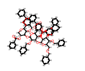 O=C(OCC1OC(OC2C(OCc3ccccc3)C(COCc3ccccc3)OC[C@H]2OC(=O)c2ccccc2)C(OCc2ccccc2)C(OC2OC(COCc3ccccc3)C(OCc3ccccc3)C(OCc3ccc4ccccc4c3)C2OC(=O)c2ccccc2)C1OC(=O)c1ccccc1)c1ccccc1